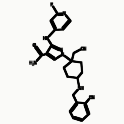 N#CCC1(n2cc(C(N)=O)c(Nc3ccnc(F)c3)n2)CCC(NCc2ccccc2C#N)CC1